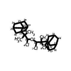 CC(C)(C(Cl)OC(Cl)C(C)(C)C12CC3CC(CC(C3)C1)C2)C12CC3CC(CC(C3)C1)C2